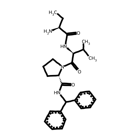 CC[C@H](N)C(=O)N[C@H](C(=O)N1CCC[C@H]1C(=O)NC(c1ccccc1)c1ccccc1)C(C)C